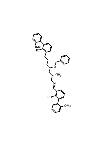 COc1ccccc1-c1cccc(/C=N/C[C@@H](N)CC(CCCc2cccc(-c3ccccc3OC)c2O)OCc2ccccc2)c1O